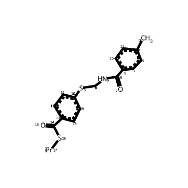 Cc1ccc(C(=O)NCSc2ccc(C(=O)SC(C)C)cc2)cc1